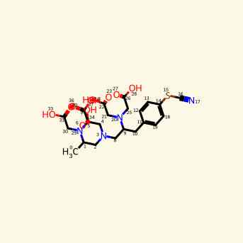 CC(CN(CC(=O)O)CC(Cc1ccc(SC#N)cc1)N(CC(=O)O)CC(=O)O)N(CC(=O)O)CC(=O)O